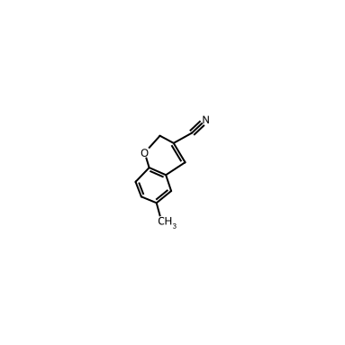 Cc1ccc2c(c1)C=C(C#N)CO2